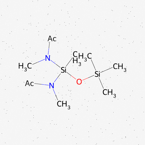 CC(=O)N(C)[Si](C)(O[Si](C)(C)C)N(C)C(C)=O